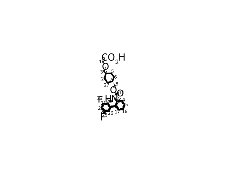 O=C(O)COC[C@H]1CC[C@H](COC(=O)Nc2ccccc2-c2cc(F)cc(F)c2)CC1